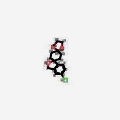 Clc1ccc2c(c1)COC21CCC2(CC1)OCCO2